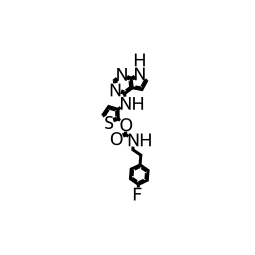 O=C(NCCc1ccc(F)cc1)Oc1sccc1Nc1ncnc2[nH]ccc12